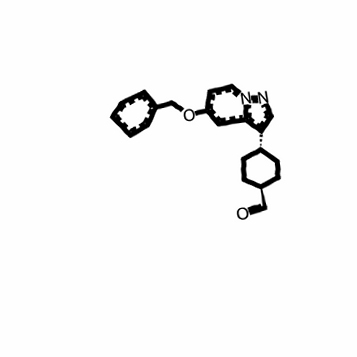 O=C[C@H]1CC[C@H](c2cnn3ccc(OCc4ccccc4)cc23)CC1